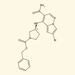 NC(=O)c1cnn2cc(Br)cc2c1N[C@H]1CCN(C(=O)OCc2ccccc2)C1